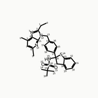 CCc1nc2c(C)cc(C)nc2n1Cc1ccc(C2(NS(=O)(=O)C(C)(C)C)Cc3ccccc3S2)cc1